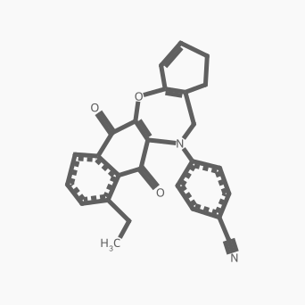 CCc1cccc2c1C(=O)C1=C(OC3=C(CCC=C3)CN1c1ccc(C#N)cc1)C2=O